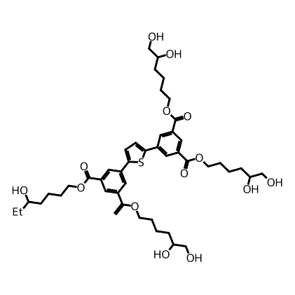 C=C(OCCCCC(O)CO)c1cc(C(=O)OCCCCC(O)CC)cc(-c2ccc(-c3cc(C(=O)OCCCCC(O)CO)cc(C(=O)OCCCCC(O)CO)c3)s2)c1